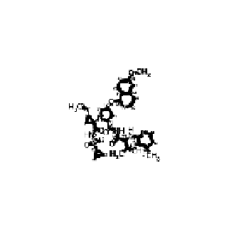 C=C[C@@H]1C[C@@]1(C(=O)NS(=O)(=O)C1CC1)N1C[C@H](Oc2nccc3cc(OC)ccc23)C[C@H]1C(=O)NC(=O)C(Nc1cc(C)ccn1)C(C)C